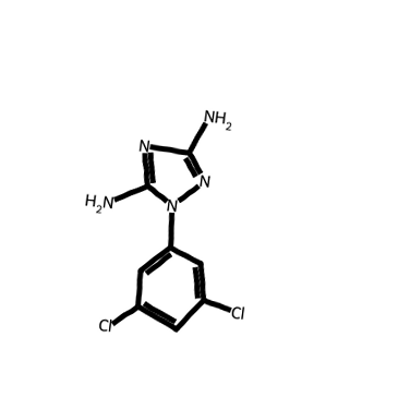 Nc1nc(N)n(-c2cc(Cl)cc(Cl)c2)n1